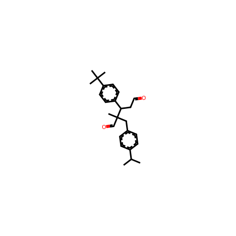 CC(C)c1ccc(CC(C)(C=O)C(CC=O)c2ccc(C(C)(C)C)cc2)cc1